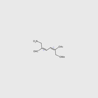 COC/C(=C\C=C(\C=O)C[N+](=O)[O-])OC(C)=O